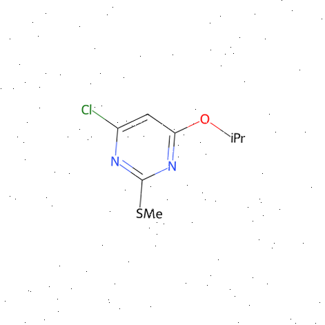 CSc1nc(Cl)cc(OC(C)C)n1